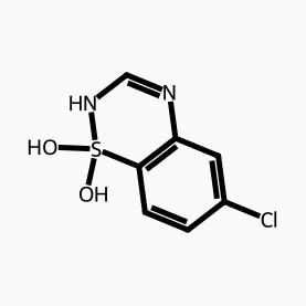 OS1(O)NC=Nc2cc(Cl)ccc21